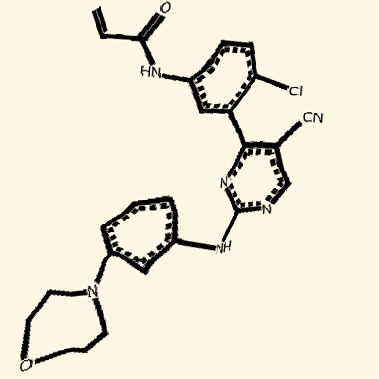 C=CC(=O)Nc1ccc(Cl)c(-c2nc(Nc3cccc(N4CCOCC4)c3)ncc2C#N)c1